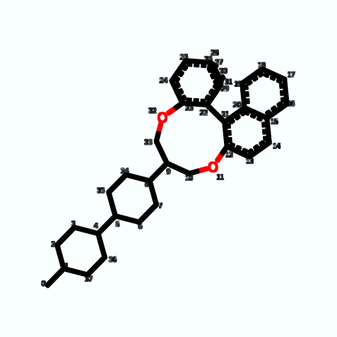 CC1CCC(C2CCC(C3COc4ccc5ccccc5c4-c4c(ccc5ccccc45)OC3)CC2)CC1